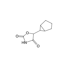 O=C1NC(=O)C(C2C3CCCC32)O1